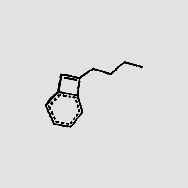 CCCCC1=Cc2ccccc21